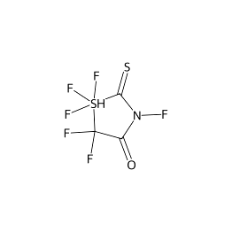 O=C1N(F)C(=S)[SH](F)(F)(F)C1(F)F